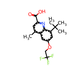 Cc1cc(C(=O)O)nc2c(C(C)(C)C)cc(OCC(F)(F)F)cc12